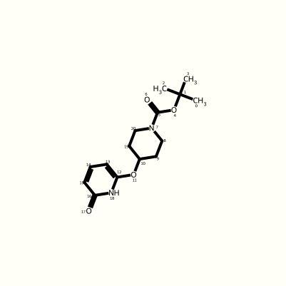 CC(C)(C)OC(=O)N1CCC(Oc2cccc(=O)[nH]2)CC1